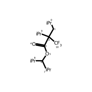 CC(C)CC(C(=O)OC(C(C)C)C(C)C)(C(C)C)C(F)(F)F